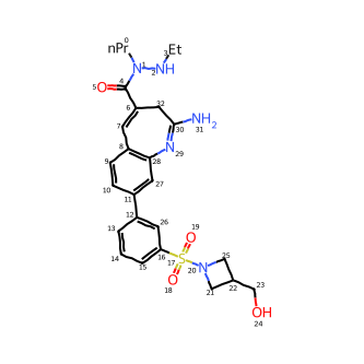 CCCN(NCC)C(=O)C1=Cc2ccc(-c3cccc(S(=O)(=O)N4CC(CO)C4)c3)cc2N=C(N)C1